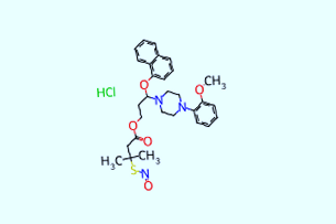 COc1ccccc1N1CCN(C(CCOC(=O)CC(C)(C)SN=O)Oc2cccc3ccccc23)CC1.Cl